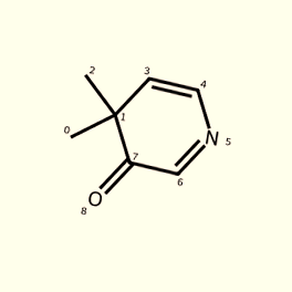 CC1(C)C=CN=CC1=O